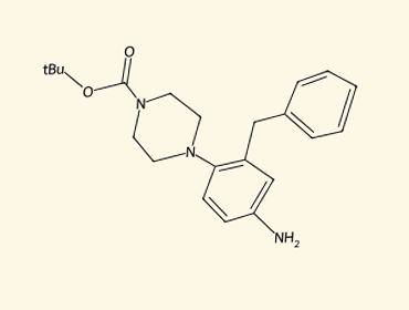 CC(C)(C)OC(=O)N1CCN(c2ccc(N)cc2Cc2ccccc2)CC1